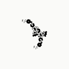 Cc1cc(C)nc(OC(OC(=O)/C=C\C(=O)OC(Oc2nc(C)cc(C)n2)C(=O)N(C)C2CCN(Cc3ccc(C(F)(F)F)cc3)CC2)C(=O)N(C)C2CCN(Cc3ccc(C(F)(F)F)cc3)CC2)n1